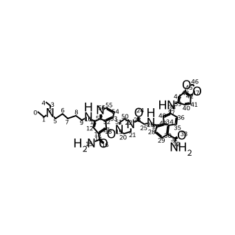 CCN(CC)CCCCCNc1cc(C(N)=O)c(ON2CCN(C(=O)CNc3ccc(C(N)=O)c4ccc(Nc5ccc6c(c5)OCO6)cc34)CC2)c2cccnc12